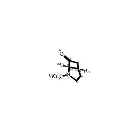 O=C1C[C@@H]2CCN(C(=O)O)[C@H]12